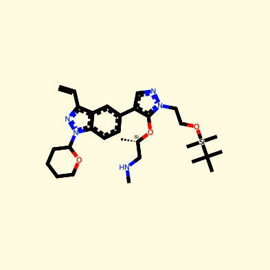 C=Cc1nn(C2CCCCO2)c2ccc(-c3cnn(CCO[Si](C)(C)C(C)(C)C)c3O[C@@H](C)CNC)cc12